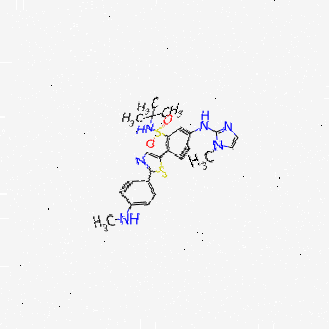 CNc1ccc(-c2ncc(-c3ccc(Nc4nccn4C)cc3S(=O)(=O)NC(C)(C)C)s2)cc1